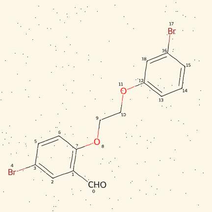 O=Cc1cc(Br)ccc1OCCOc1cccc(Br)c1